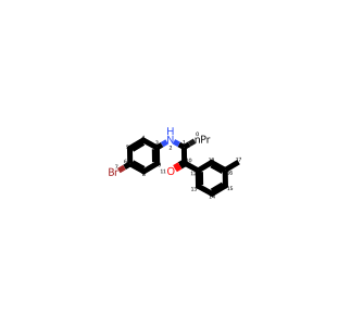 CCCC(Nc1ccc(Br)cc1)C(=O)c1cccc(C)c1